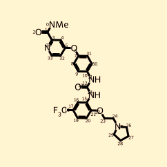 CNC(=O)c1cc(Oc2ccc(NC(=O)Nc3cc(C(F)(F)F)ccc3OCCN3CCCC3)cc2)ccn1